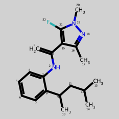 C=C(Nc1ccccc1C(C)CC(C)C)c1c(C)nn(C)c1F